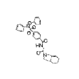 O=C(NCC(=O)N1CCC2CCCC=C2C1)c1ccc(S(=O)(=O)N(Oc2ccccc2)c2ccccc2)cc1